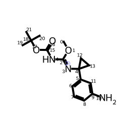 CO/C(=N\C1(c2cccc(N)c2)CC1)NC(=O)OC(C)(C)C